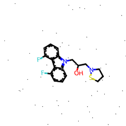 OC(CN1CCCS1)Cn1c2cccc(F)c2c2c(F)cccc21